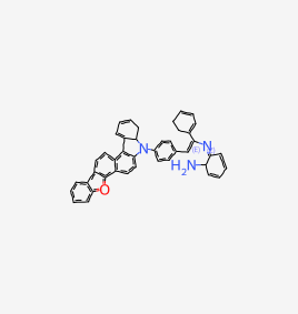 NC1C=CC=C/C1=N/C(=C/c1ccc(N2c3ccc4c(ccc5c6ccccc6oc45)c3C3=CC=CCC32)cc1)C1=CC=CCC1